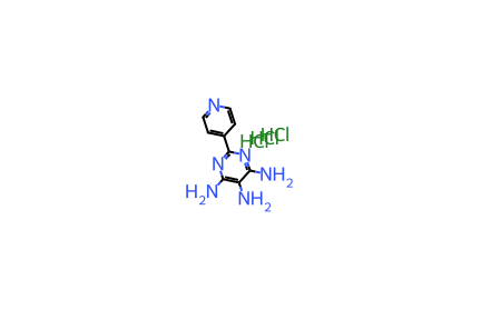 Cl.Cl.Cl.Nc1nc(-c2ccncc2)nc(N)c1N